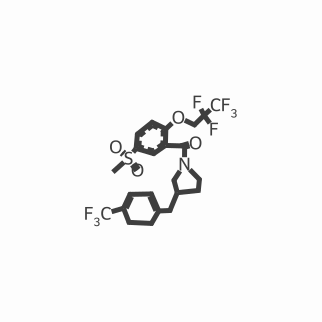 CS(=O)(=O)c1ccc(OCC(F)(F)C(F)(F)F)c(C(=O)N2CCC(CC3=CC=C(C(F)(F)F)CC3)C2)c1